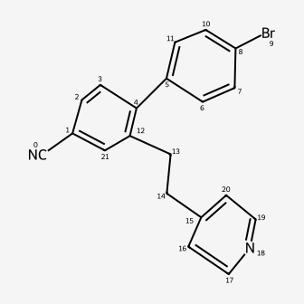 N#Cc1ccc(-c2ccc(Br)cc2)c(CCc2ccncc2)c1